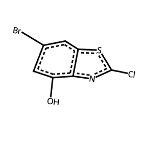 Oc1cc(Br)cc2sc(Cl)nc12